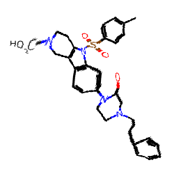 Cc1ccc(S(=O)(=O)n2c3c(c4ccc(N5CCN(CCc6ccccc6)CC5=O)cc42)CN(C(=O)O)CC3)cc1